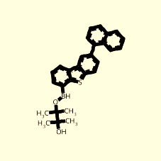 CC(C)(O)C(C)(C)OBc1cccc2c1sc1ccc(-c3cccc4ccccc34)cc12